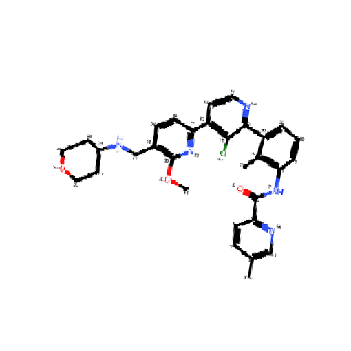 [CH2]c1ccc(C(=O)Nc2cccc(-c3nccc(-c4ccc(CNC5CCOCC5)c(OC)n4)c3Cl)c2C)nc1